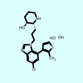 Cc1sccc1-c1cc(Cl)cc2ncn(CCC[C@H]3NCCC[C@@H]3O)c12.Cl.Cl